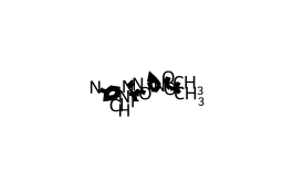 CC(C)OC(=O)N1CC(Oc2ncnc(Nc3ccc(C#N)cc3Cl)c2F)C2CC21